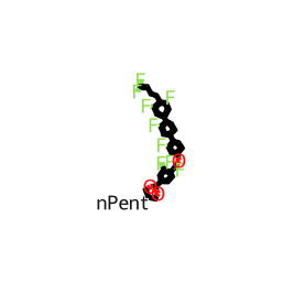 CCCCCC1COC(c2ccc(C(F)(F)Oc3ccc(-c4ccc(-c5cc(F)c(CCC=C(F)F)c(F)c5)c(F)c4)c(F)c3)c(F)c2)OC1